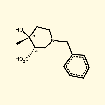 C[C@@]1(O)CCN(Cc2ccccc2)C[C@@H]1C(=O)O